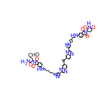 NC(=O)C(CCC=O)N1C(=O)c2ccc(NCCCCCCn3cc(-c4cnc5ccc(C6CC6c6ccc7ncc(-c8cnn(C9CC(CCNc%10ccc%11c(c%10)C(=O)N(C%10CCC(=O)NC%10=O)C%11=O)C9)c8)nc7c6)cc5n4)cn3)cc2C1=O